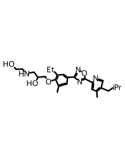 CCc1cc(-c2noc(-c3cc(C)c(CC(C)C)cn3)n2)cc(C)c1OCC(O)CNCCO